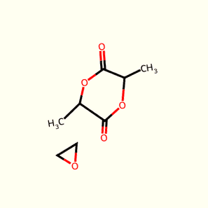 C1CO1.CC1OC(=O)C(C)OC1=O